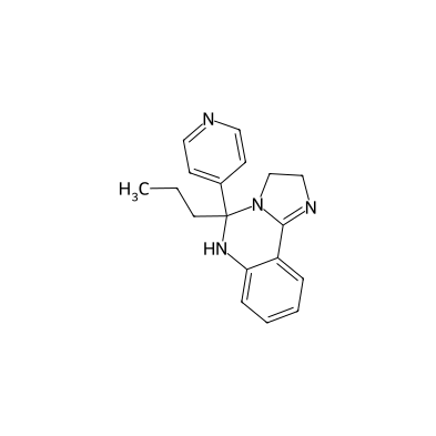 CCCC1(c2ccncc2)Nc2ccccc2C2=NCCN21